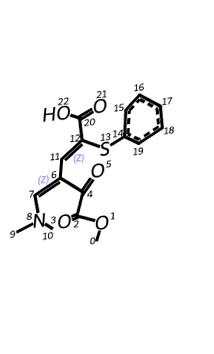 COC(=O)C(=O)C(=C\N(C)C)/C=C(\Sc1ccccc1)C(=O)O